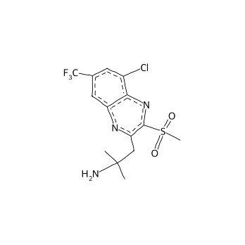 CC(C)(N)Cc1nc2cc(C(F)(F)F)cc(Cl)c2nc1S(C)(=O)=O